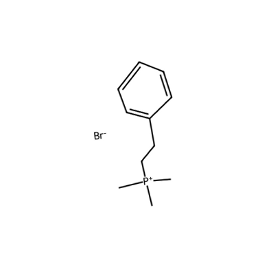 C[P+](C)(C)CCc1ccccc1.[Br-]